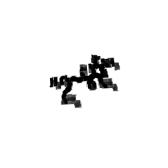 CN(CCN)CCNC(=O)c1nc(Br)c(N)nc1N